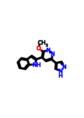 COc1nnc(-c2cn[nH]c2)cc1-c1cc2ccccc2[nH]1